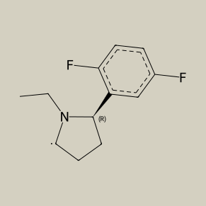 CCN1[CH]CC[C@@H]1c1cc(F)ccc1F